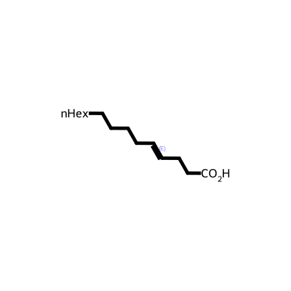 CCCCCCCCCC/C=C/CCC(=O)O